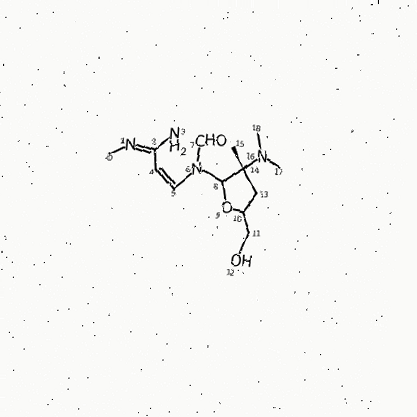 C/N=C(N)\C=C/N(C=O)C1OC(CO)C[C@@]1(C)N(C)C